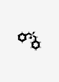 C=P(C)(Cc1ccccc1)Cc1ccccc1